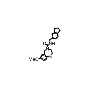 COc1ccc2c(c1)CN(C(=O)NCc1ccc3c(c1)CCC3)CCS2